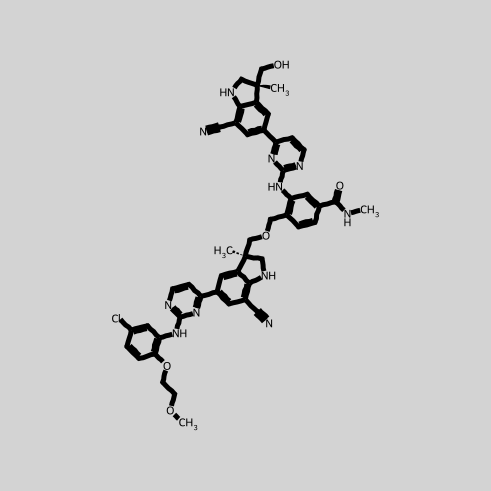 CNC(=O)c1ccc(COC[C@@]2(C)CNc3c(C#N)cc(-c4ccnc(Nc5cc(Cl)ccc5OCCOC)n4)cc32)c(Nc2nccc(-c3cc(C#N)c4c(c3)[C@@](C)(CO)CN4)n2)c1